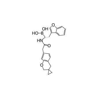 O=C(Cc1ccc2c(c1)OCC1(CC1)C2)N[C@@H](Cc1coc2ccccc12)B(O)O